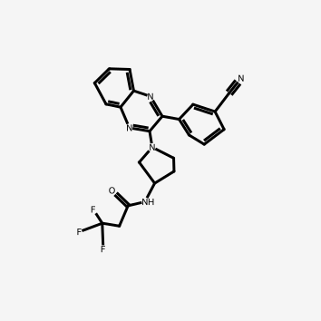 N#Cc1cccc(-c2nc3ccccc3nc2N2CCC(NC(=O)CC(F)(F)F)C2)c1